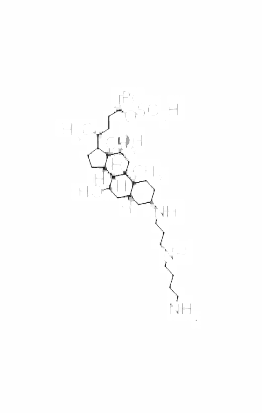 CC(C)[C@@H](CC[C@@H](C)C1CC[C@H]2[C@@H]3[C@H](O)C[C@H]4C[C@@H](NCCCNCCCCN)CC[C@]4(C)[C@H]3C[C@H](O)[C@]12C)OS(=O)(=O)O